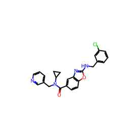 O=C(c1ccc2oc(NCc3cccc(Cl)c3)nc2c1)N(Cc1cccnc1)C1CC1